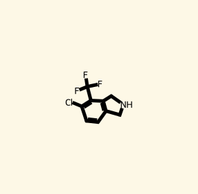 FC(F)(F)c1c(Cl)ccc2c1CNC2